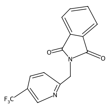 O=C1c2ccccc2C(=O)N1Cc1ccc(C(F)(F)F)cn1